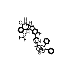 CC(C)(OP(=O)(OCc1ccccc1)OCc1ccccc1)c1ncc(-c2cc3c(cc2F)C=C2C3[C@H]3C[C@@H]2NC(=O)c2cccc(OC(F)F)c23)cn1